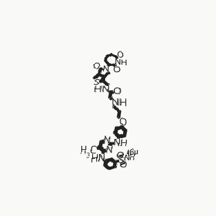 Cc1cnc(Nc2ccc(OCCCNCC(=O)NCc3scc4c3CN(C3CCCC(=O)NC3=O)C4=O)cc2)nc1Nc1cccc(S(=O)(=O)NC(C)(C)C)c1